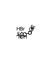 Br.CC1=NC2(O)c3ccc(-c4cccc(OC(F)(F)F)c4)cc3CC2S1